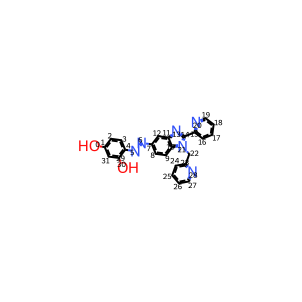 Oc1ccc(/N=N/c2ccc3c(c2)nc(-c2ccccn2)n3Cc2ccccn2)c(O)c1